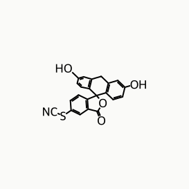 N#CSc1ccc2c(c1)C(=O)OC21c2ccc(O)cc2Cc2cc(O)ccc21